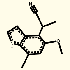 COc1cc(C)c2[nH]ccc2c1C(C)C#N